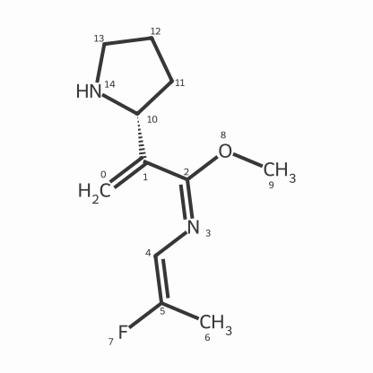 C=C(/C(=N\C=C(/C)F)OC)[C@H]1CCCN1